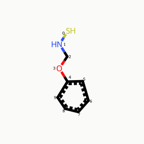 SNCOc1ccccc1